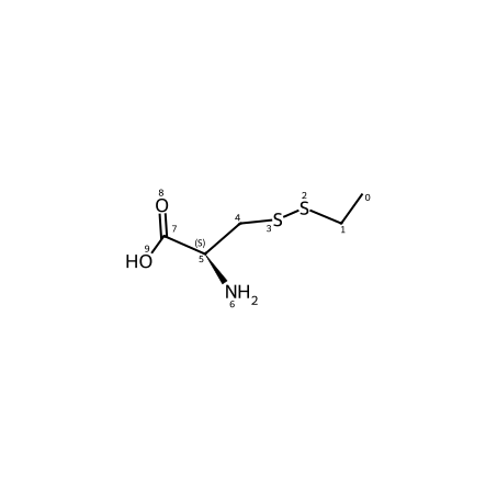 CCSSC[C@@H](N)C(=O)O